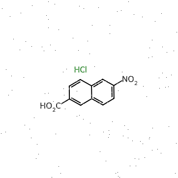 Cl.O=C(O)c1ccc2cc([N+](=O)[O-])ccc2c1